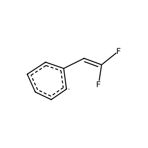 FC(F)=Cc1[c]cccc1